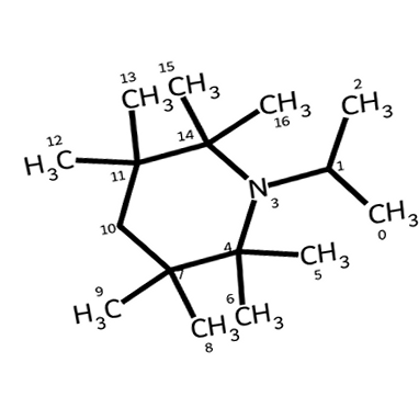 CC(C)N1C(C)(C)C(C)(C)CC(C)(C)C1(C)C